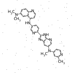 Cc1cc(N(C)c2cnc3[nH]c(-c4ccc(Nc5ccnc6ccc(N(C)C)cc56)cn4)nc3c2)ccn1